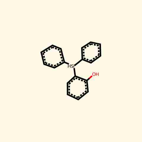 Oc1ccccc1[SiH](c1ccccc1)c1ccccc1